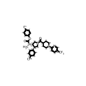 CN(C(=O)Oc1ccc(F)cc1)[C@@H]1CN(C(=O)C2CCN(c3ccc(C(F)(F)F)cn3)CC2)C[C@H]1c1ccc(Cl)cc1